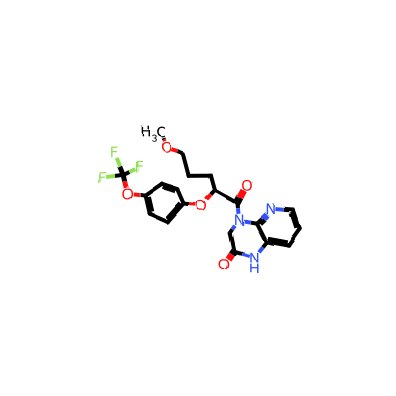 COCCCC(Oc1ccc(OC(F)(F)F)cc1)C(=O)N1CC(=O)Nc2cccnc21